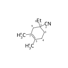 CCC1(C#N)CCC(C)=C(C)C1